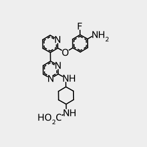 Nc1ccc(Oc2ncccc2-c2ccnc(NC3CCC(NC(=O)O)CC3)n2)cc1F